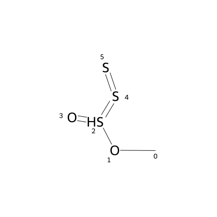 CO[SH](=O)=S=S